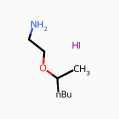 CCCCC(C)OCCN.I